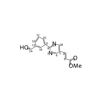 COC(=O)C=Cc1cnc(-c2cccc(CO)c2)nc1